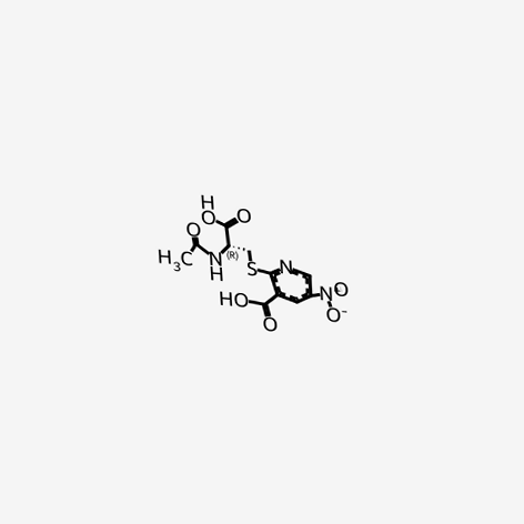 CC(=O)N[C@@H](CSc1ncc([N+](=O)[O-])cc1C(=O)O)C(=O)O